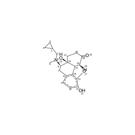 CN(CC1CC1)[C@@H]1Cc2ccc(O)c3c2C2[C@@H](O3)C(=O)CC[C@]21O